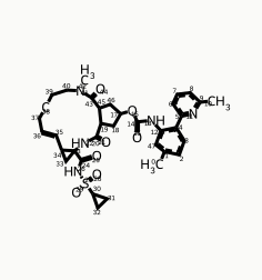 Cc1ccc(-c2cccc(C)n2)c(NC(=O)OC2CC3C(=O)NC4(C(=O)NS(=O)(=O)C5CC5)CC4/C=C/CCCCN(C)C(=O)C3C2)c1